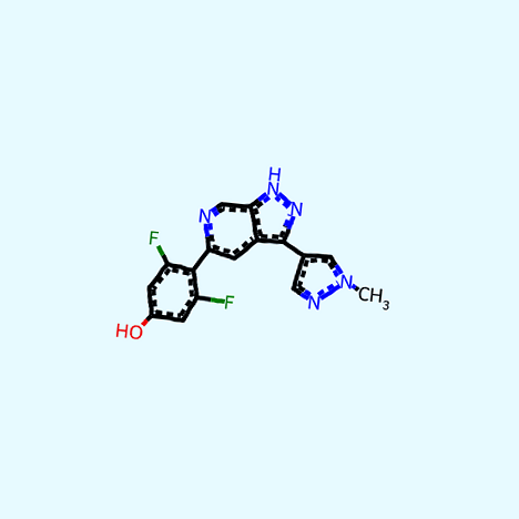 Cn1cc(-c2n[nH]c3cnc(-c4c(F)cc(O)cc4F)cc23)cn1